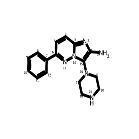 Nc1nc2ccc(-c3ccccc3)nn2c1N1CCNCC1